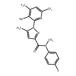 Cc1cc(C(=O)N(C)c2ccc(F)cc2)nn1-c1nc(C(F)(F)F)cc(C(F)(F)F)c1C#N